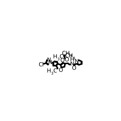 CCc1cc(-n2cc(Cl)cn2)ccc1C1=C(OC(=O)C(C)(C)C)C(CCNC(=O)c2ccccn2)CC1=O